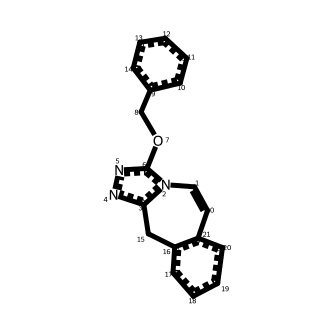 C1=Cn2c(nnc2OCc2ccccc2)Cc2ccccc21